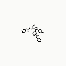 O=C(Cc1csc2nc(-c3ccc(F)cc3)c(-c3ccnc(NCc4ccccc4)n3)n12)NCc1ccccc1